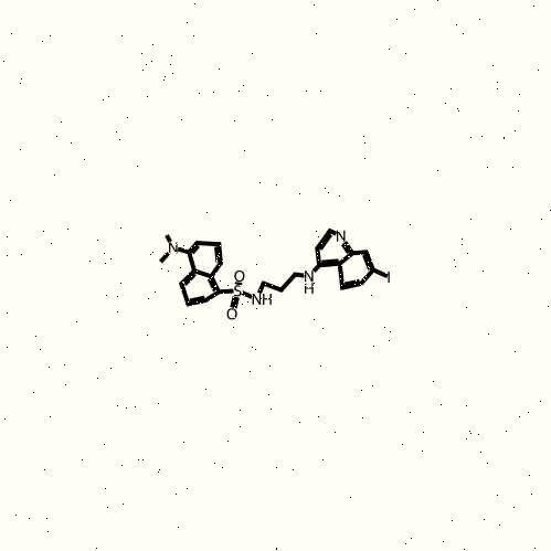 CN(C)c1cccc2c(S(=O)(=O)NCCCNc3ccnc4cc(I)ccc34)cccc12